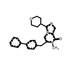 Cn1c(Cc2ccc(-c3ccccc3)cc2)cn2c(C3CCOCC3)ncc2c1=O